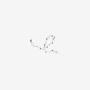 N#COc1ccc(C(=O)OCCOCC(=O)OCC(COC(=O)COCCOC(=O)c2ccc(N=C=O)cc2)(COC(=O)COCCOC(=O)c2ccc(N=C=O)cc2)COC(=O)COCCOC(=O)c2ccc(OC#N)cc2)cc1